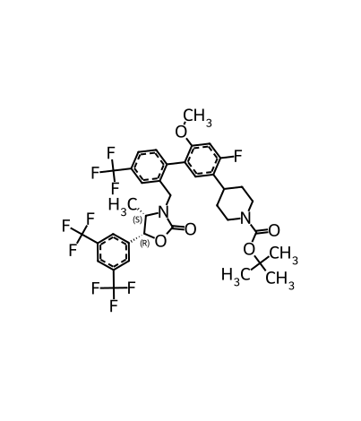 COc1cc(F)c(C2CCN(C(=O)OC(C)(C)C)CC2)cc1-c1ccc(C(F)(F)F)cc1CN1C(=O)O[C@H](c2cc(C(F)(F)F)cc(C(F)(F)F)c2)[C@@H]1C